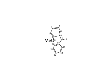 COc1ccccc1C(C)c1ccccc1